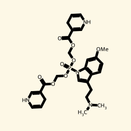 COc1ccc2c(CCN(C)C)cn(P(=O)(OCOC(=O)C3=CNC=CC3)OCOC(=O)C3=CNC=CC3)c2c1